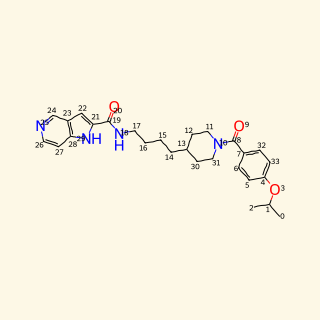 CC(C)Oc1ccc(C(=O)N2CCC(CCCCNC(=O)c3cc4cnccc4[nH]3)CC2)cc1